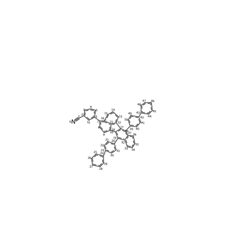 N#Cc1cccc(-c2ccc3c4c(cccc24)-c2c-3c(-c3ccc(-c4ccccc4)cc3)c3ccccc3c2-c2ccc(-c3ccccc3)cc2)c1